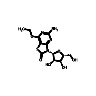 CCOc1nc(N)nc2c1sc(=O)n2[C@@H]1O[C@H](CO)[C@@H](O)[C@H]1O